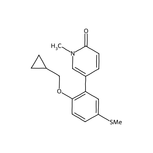 CSc1ccc(OCC2CC2)c(-c2ccc(=O)n(C)c2)c1